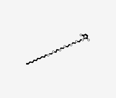 C=CCCCCCCCCCOCCOCCOCCOCCOCCOCCON1C(=O)C=CC1=O